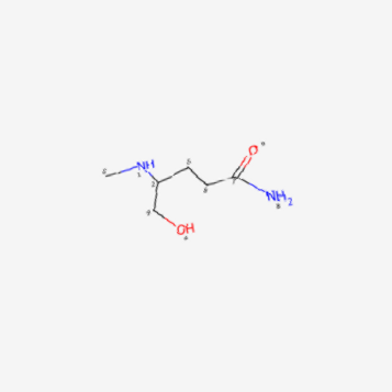 CNC(CO)CCC(N)=O